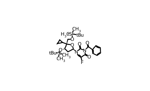 CC(C)(C)[Si](C)(C)OC[C@@]1(C2CC2)O[C@@H](n2cc(F)c(=O)n(C(=O)c3ccccc3)c2=O)C[C@@H]1O[Si](C)(C)C(C)(C)C